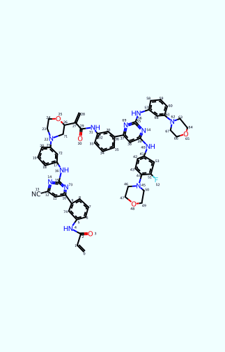 C=CC(=O)Nc1cccc(-c2cc(C#N)nc(Nc3cccc(N4CCOC(C(=C)C(=O)Nc5cccc(-c6cc(Nc7ccc(N8CCOCC8)c(F)c7)nc(Nc7cccc(N8CCOCC8)c7)n6)c5)C4)c3)n2)c1